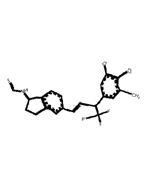 Cc1cc(C(/C=C/c2ccc3c(c2)CCC3NC=S)C(F)(F)F)cc(Cl)c1Cl